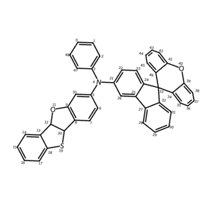 c1ccc(N(c2ccc3c(c2)OC2c4ccccc4SC32)c2ccc3c(c2)-c2ccccc2C32c3ccccc3Oc3ccccc32)cc1